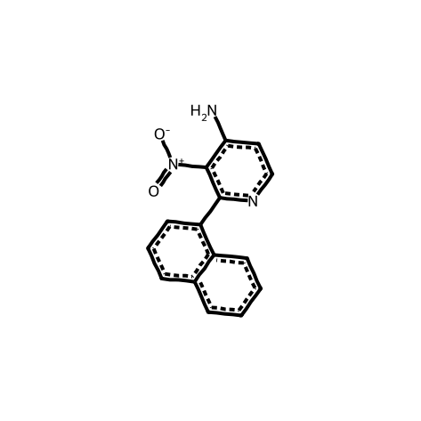 Nc1ccnc(-c2cccc3ccccc23)c1[N+](=O)[O-]